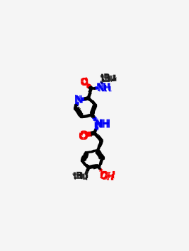 CC(C)(C)NC(=O)c1cc(NC(=O)Cc2ccc(C(C)(C)C)c(O)c2)ccn1